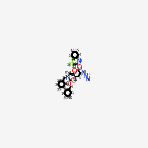 C[C@H]([C@@H]1CC[C@@H](N=[N+]=[N-])C(O/C(=N/c2ccccc2)C(F)(F)F)O1)N(Cc1ccccc1)C(=O)OCc1ccccc1